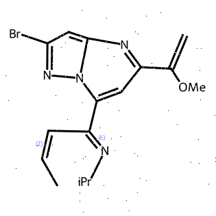 C=C(OC)c1cc(C(/C=C\C)=N/C(C)C)n2nc(Br)cc2n1